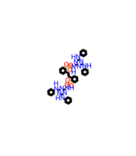 O=S(=O)(ONc1nc(Nc2ccccc2)nc(Nc2ccccc2)n1)c1ccccc1/C=C/c1ccccc1S(=O)(=O)ONc1nc(Nc2ccccc2)nc(Nc2ccccc2)n1